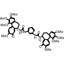 COc1cc2c(c(OC)c1OC)-c1ccc(SC)c(=O)cc1[C@@H](NC(=O)Nc1cccc(NC(=O)N[C@H]3CCc4cc(OC)c(OC)c(OC)c4-c4ccc(SC)c(=O)cc43)c1)CC2